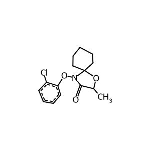 CC1OC2(CCCCC2)N(Oc2ccccc2Cl)C1=O